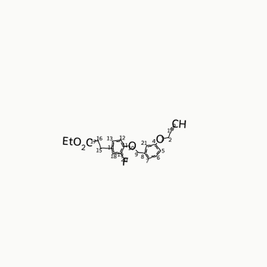 C#CCOc1cccc(COc2ccc(CCC(=O)OCC)cc2F)c1